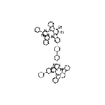 CCc1c(CC)c2c3ccccc3n(-c3nc(-c4ccccc4)nc(-c4ccccc4)n3)c2c2c1c1ccc(C3CCC(c4ccc(-c5nc(-c6ccc(C7CCCCC7)cc6)nc(-n6c7ccccc7c7ccc8c9ccccc9n(-c9ccccc9)c8c76)n5)cc4)CC3)cc1n2-c1ccccc1